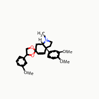 COc1cccc(C2COC3(C=C[C@@]4(c5ccc(OC)c(OC)c5)CCN(C)[C@H]4C3)O2)c1